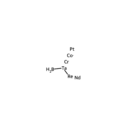 [BH2][Ta][Re].[Co].[Cr].[Nd].[Pt]